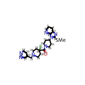 CSc1nc2cccnc2n1C1CCN(C(=O)C2(F)CCN(Cc3ccnnc3)CC2)CC1